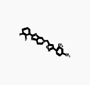 Fc1cccc(-c2nc3ccn(Cc4cc(-c5ccc(C(F)(F)F)cc5C(F)(F)F)no4)cc-3n2)c1F